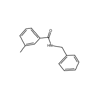 Cc1cccc(C(=O)NCc2ccccc2)c1